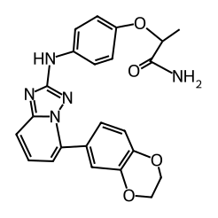 CC(Oc1ccc(Nc2nc3cccc(-c4ccc5c(c4)OCCO5)n3n2)cc1)C(N)=O